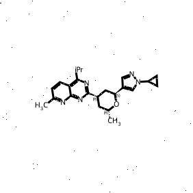 Cc1ccc2c(C(C)C)nc([C@@H]3C[C@@H](C)O[C@H](c4cnn(C5CC5)c4)C3)nc2n1